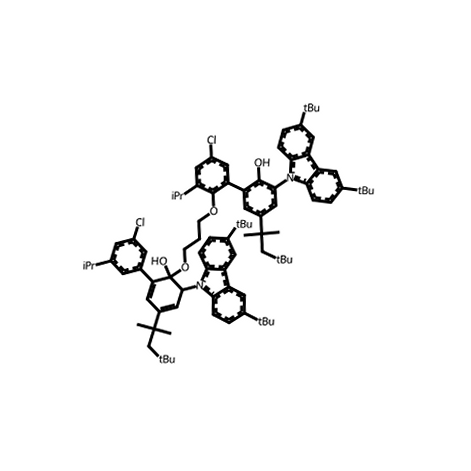 CC(C)c1cc(Cl)cc(C2=CC(C(C)(C)CC(C)(C)C)=CC(n3c4ccc(C(C)(C)C)cc4c4cc(C(C)(C)C)ccc43)C2(O)OCCCOc2c(-c3cc(C(C)(C)CC(C)(C)C)cc(-n4c5ccc(C(C)(C)C)cc5c5cc(C(C)(C)C)ccc54)c3O)cc(Cl)cc2C(C)C)c1